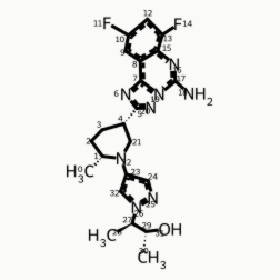 C[C@@H]1CC[C@H](c2nc3c4cc(F)cc(F)c4nc(N)n3n2)CN1c1cnn([C@H](C)[C@@H](C)O)c1